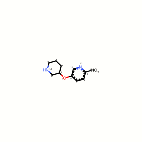 O=[N+]([O-])c1ccc(OC2CCCNC2)cn1